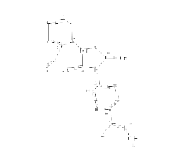 C=Cc1ccccc1N1CC(=O)N(c2ccc(C(C)=NO)cc2)C1=O